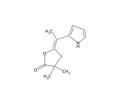 C/C(=C1/CC(C)(C)C(=O)O1)c1ccc[nH]1